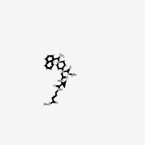 COC(=O)/C=C/CNC(=O)C1(NC(=O)CN(C(=O)OC(C)(C)C)C2CCN(C(C)c3cccc4ccccc34)CC2)CC1